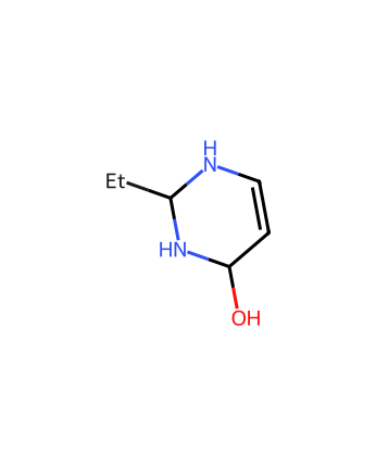 CCC1NC=CC(O)N1